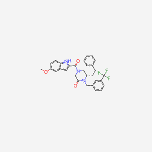 COc1ccc2[nH]c(C(=O)N3CC(=O)N(Cc4cccc(C(F)(F)F)c4)[C@@H](CCc4ccccc4)C3)cc2c1